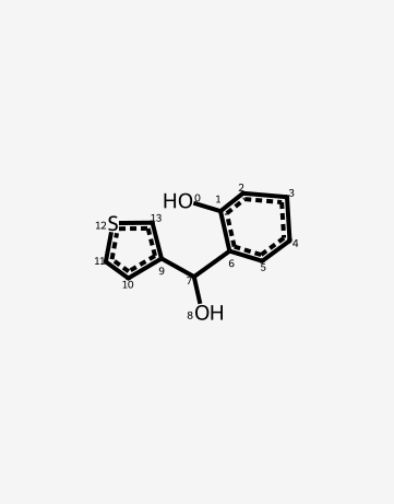 Oc1ccccc1C(O)c1ccsc1